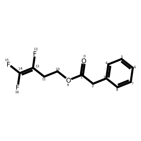 O=C(Cc1ccccc1)OCCC(F)=C(F)F